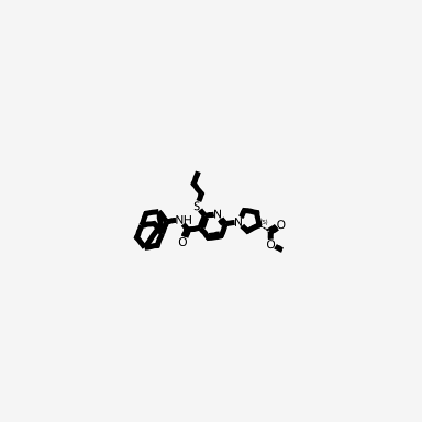 CCCSc1nc(N2CC[C@H](C(=O)OC)C2)ccc1C(=O)NC1C2CC3CC(C2)CC1C3